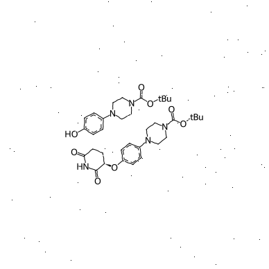 CC(C)(C)OC(=O)N1CCN(c2ccc(O)cc2)CC1.CC(C)(C)OC(=O)N1CCN(c2ccc(O[C@@H]3CCC(=O)NC3=O)cc2)CC1